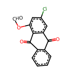 O=COc1cc(Cl)cc2c1C(=O)c1ccccc1C2=O